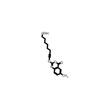 CCCCCCCCCCCCCCCCC#COc1nc2ccc(C)cc2c(=O)o1